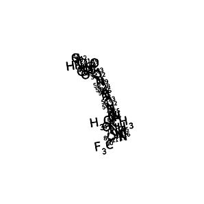 CC(C)(C(=O)Nc1ccc(C(F)(F)F)cc1-n1cccn1)n1cc(N2CCC(N3CC4(CCN(c5ccc6c(c5)C(=O)N(C5CCC(=O)NC5=O)C6=O)CC4)C3)CC2)cn1